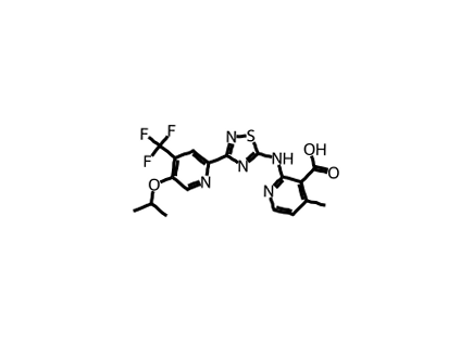 Cc1ccnc(Nc2nc(-c3cc(C(F)(F)F)c(OC(C)C)cn3)ns2)c1C(=O)O